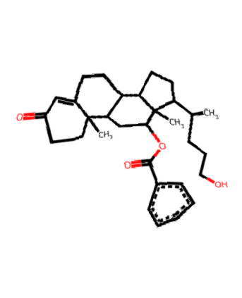 CC(CCCO)C1CCC2C3CCC4=CC(=O)CCC4(C)C3CC(OC(=O)c3ccccc3)C12C